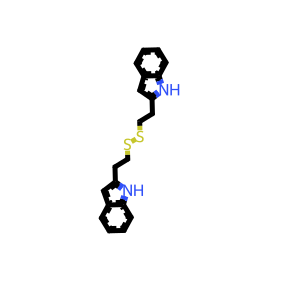 c1ccc2[nH]c(CCSSCCc3cc4ccccc4[nH]3)cc2c1